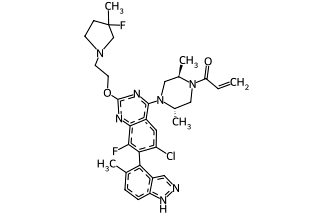 C=CC(=O)N1C[C@H](C)N(c2nc(OCCN3CCC(C)(F)C3)nc3c(F)c(-c4c(C)ccc5[nH]ncc45)c(Cl)cc23)C[C@H]1C